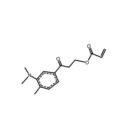 C=CC(=O)OCCC(=O)c1ccc(C)c(N(C)C)c1